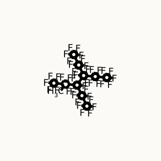 CC1=C(c2c(F)c(F)c(F)c(F)c2F)C(F)=C(F)C(c2c(F)c(-c3c(F)c(F)c(-c4c(F)c(F)c(F)c(F)c4F)c(F)c3F)c(F)c(-c3c(F)c(-c4c(F)c(F)c(-c5c(F)c(F)c(F)c(F)c5F)c(F)c4F)c(F)c(-c4c(F)c(F)c(-c5c(F)c(F)c(F)c(F)c5F)c(F)c4F)c3F)c2F)C1F